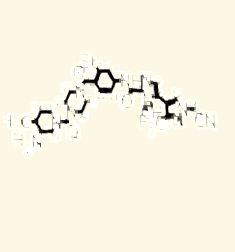 CCc1cc(NC(=O)c2ncc(-c3cn(CC#N)nc3C(F)(F)F)n2C)ccc1C(=O)N1CCN(C(=O)N2CCC(C)C(N)C2)CC1